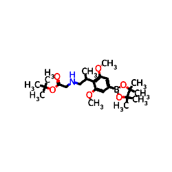 COc1cc(B2OC(C)(C)C(C)(C)O2)cc(OC)c1C(C)CNCC(=O)OC(C)(C)C